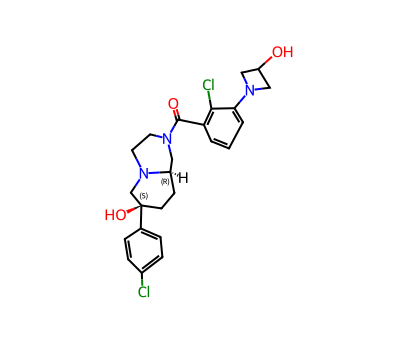 O=C(c1cccc(N2CC(O)C2)c1Cl)N1CCN2C[C@@](O)(c3ccc(Cl)cc3)CC[C@@H]2C1